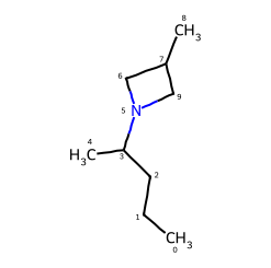 CCCC(C)N1CC(C)C1